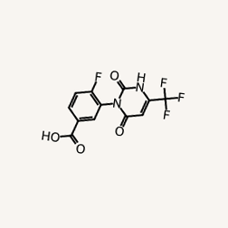 O=C(O)c1ccc(F)c(-n2c(=O)cc(C(F)(F)F)[nH]c2=O)c1